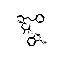 C=CC(CCc1ccccc1)S(=O)(=O)CC(C)C(=O)O.On1nnc2ccccc21